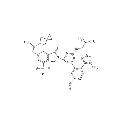 CC(C)CNc1cc(-c2cc(C#N)ccc2-c2nncn2C)cc(N2Cc3c(cc(CN(C)C4CC5(CC5)C4)cc3C(F)(F)F)C2=O)n1